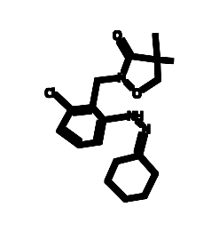 CC1(C)CON(Cc2c(Cl)cccc2NN=C2CCCCC2)C1=O